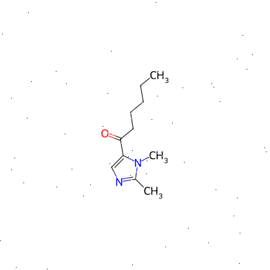 CCCCCC(=O)c1cnc(C)n1C